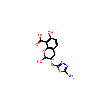 Nc1nnc(S[C@H]2Cc3ccc(O)c(C(=O)O)c3OB2O)s1